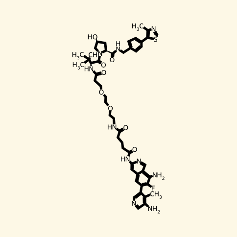 Cc1ncsc1-c1ccc(CNC(=O)[C@@H]2C[C@@H](O)CN2C(=O)[C@@H](NC(=O)CCOCCOCCNC(=O)CCCC(=O)Nc2cc3cc(-c4cncc(N)c4C)c(F)c(N)c3cn2)C(C)(C)C)cc1